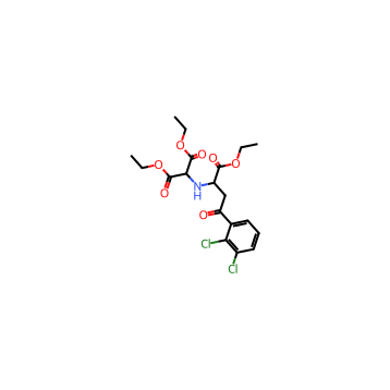 CCOC(=O)C(CC(=O)c1cccc(Cl)c1Cl)NC(C(=O)OCC)C(=O)OCC